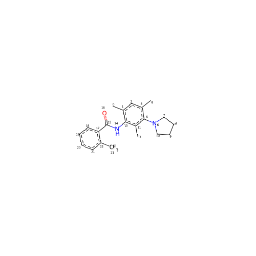 Cc1cc(C)c(N2CCCC2)c(C)c1NC(=O)c1ccccc1C(F)(F)F